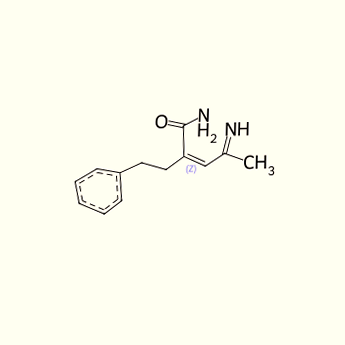 CC(=N)/C=C(/CCc1ccccc1)C(N)=O